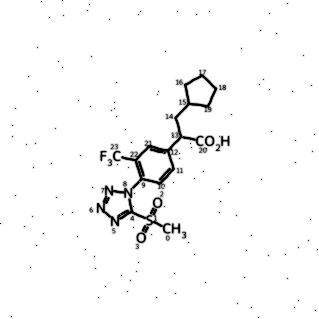 CS(=O)(=O)c1nnnn1-c1ccc(C(CC2CCCC2)C(=O)O)cc1C(F)(F)F